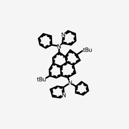 CC(C)(C)c1cc2cc(N(c3ccccc3)c3ccccn3)c3cc(C(C)(C)C)cc4cc(N(c5ccccc5)c5ccccn5)c(c1)c2c43